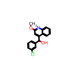 COc1cc(C(O)c2cccc(Cl)c2)c2ccccc2n1